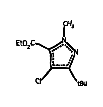 CCOC(=O)c1c(Cl)c(C(C)(C)C)nn1C